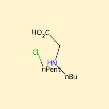 CCCCCCl.CCCCNCC(=O)O